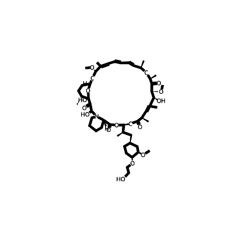 CO[C@H]1C[C@@H]2CC[C@@H](C)[C@@](O)(O2)C(=O)C(O)N2CCCC[C@H]2C(=O)O[C@H]([C@H](C)C[C@@H]2CC[C@@H](OCCO)[C@H](OC)C2)CC(=O)[C@H](C)/C=C(\C)[C@@H](O)[C@@H](OC)C(=O)[C@H](C)C[C@H](C)/C=C/C=C/C=C/1C